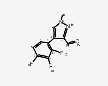 Cn1cc(-c2ccc(F)c(F)c2F)c(C=O)n1